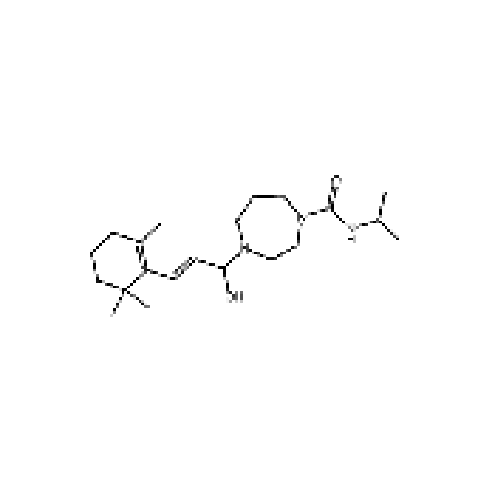 CC1=C(/C=C/C(O)N2CCCN(C(=O)NC(C)C)CC2)C(C)(C)CCC1